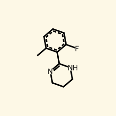 Cc1cccc(F)c1C1=NCCCN1